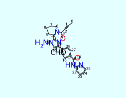 CC#CC(=O)N1CCCCC1c1nc(-c2ccc(C(=O)Nc3ccccn3)cc2)c(C=O)n1N